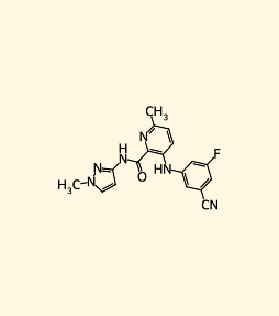 Cc1ccc(Nc2cc(F)cc(C#N)c2)c(C(=O)Nc2ccn(C)n2)n1